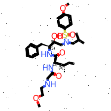 CC[C@H](C)[C@H](NC(=O)CNCCOC)C(=O)N[C@@H](Cc1ccccc1)[C@H](O)CN(CC(C)C)S(=O)(=O)c1ccc(OC)cc1